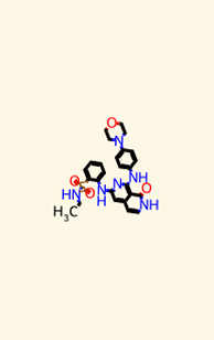 CCNS(=O)(=O)c1ccccc1Nc1cc2cc[nH]c(=O)c2c(Nc2ccc(N3CCOCC3)cc2)n1